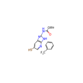 COC(=O)Nc1nc2cc(S)cnc2[nH]1.FC(F)(F)c1ccccc1